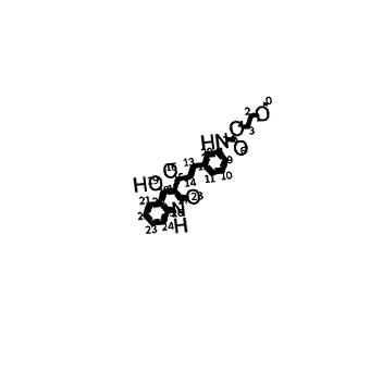 COCCOC(=O)Nc1cccc(/C=C/C(=O)c2c(O)c3ccccc3[nH]c2=O)c1